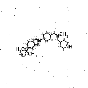 CN(CC1CCNCC1)CC1CCC(n2cc3ccc(C(C)(C)O)cc3n2)CC1